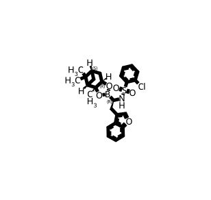 CC1(C)[C@@H]2C[C@H]3OB([C@H](Cc4coc5ccccc45)NS(=O)(=O)c4ccccc4Cl)O[C@@]3(C)[C@H]1C2